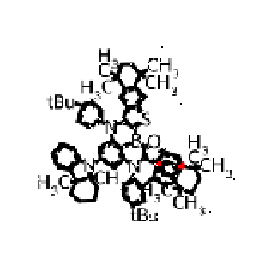 CC(C)(C)c1ccc(N2c3cc(N4c5ccccc5C5(C)CCCCC45C)cc4c3B(c3oc5cc6c(cc5c3N4c3ccc(C(C)(C)C)cc3-c3ccccc3)C(C)(C)CCC6(C)C)c3sc4cc5c(cc4c32)C(C)(C)CCC5(C)C)cc1